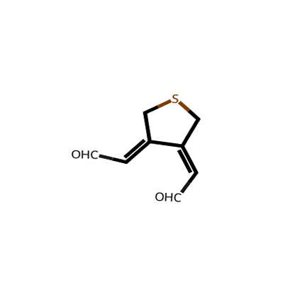 O=CC=C1CSCC1=CC=O